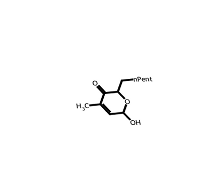 CCCCCCC1OC(O)C=C(C)C1=O